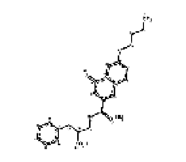 Cl.NCCCOc1ccc2cc(C(=O)NCC(Nc3ncccn3)C(=O)O)cc(=O)n2c1